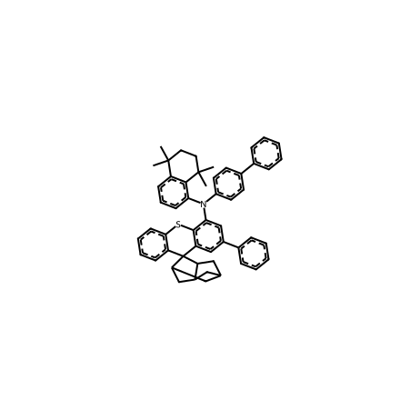 CC1(C)CCC(C)(C)c2c(N(c3ccc(-c4ccccc4)cc3)c3cc(-c4ccccc4)cc4c3Sc3ccccc3C43C4CC5CC(C4)C3C5)cccc21